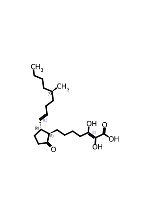 CCCC[C@@H](C)CC/C=C/[C@H]1CCC(=O)[C@@H]1CCCC/C(O)=C(\O)C(=O)O